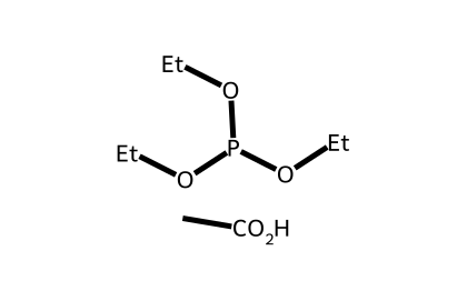 CC(=O)O.CCOP(OCC)OCC